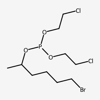 CC(CCCCBr)OP(OCCCl)OCCCl